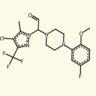 COc1ccc(F)cc1N1CCN(C(C=O)n2nc(C(F)(F)F)c(Cl)c2C)CC1